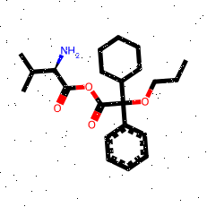 CCCOC(C(=O)OC(=O)[C@H](N)C(C)C)(c1ccccc1)C1CCCCC1